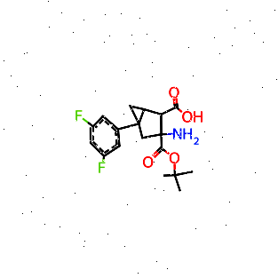 CC(C)(C)OC(=O)C1(N)CC2(c3cc(F)cc(F)c3)CC2C1C(=O)O